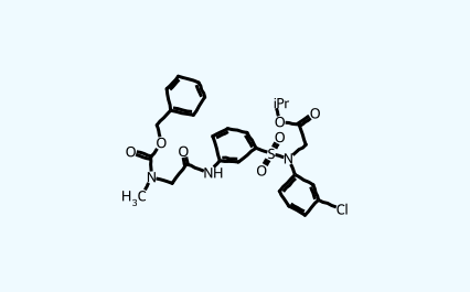 CC(C)OC(=O)CN(c1cccc(Cl)c1)S(=O)(=O)c1cccc(NC(=O)CN(C)C(=O)OCc2ccccc2)c1